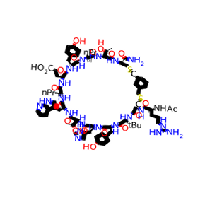 CCC[C@@H]1NC(=O)[C@H](Cc2c[nH]c3ncccc23)NC(=O)[C@H]([C@@H](C)O)NC(=O)[C@H](Cc2cnc[nH]2)NC(=O)[C@H](Cc2ccc(O)cc2)NC(=O)[C@H](C(C)(C)C)NC(=O)[C@@H](NC(=O)[C@H](CCCNC(=N)N)NC(C)=O)CSCc2cccc(c2)CSC[C@@H](C(N)=O)NC(=O)[C@H]([C@@H](C)O)NC(=O)[C@H](CCC)NC(=O)[C@H](Cc2ccc(O)cc2)NC(=O)[C@H](CCC(=O)O)NC1=O